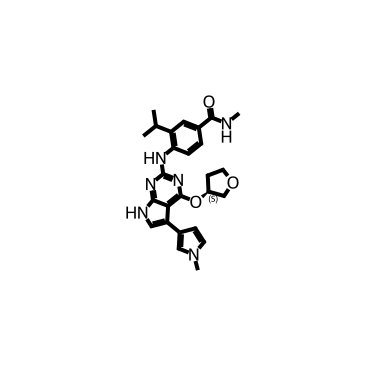 CNC(=O)c1ccc(Nc2nc(O[C@H]3CCOC3)c3c(-c4ccn(C)c4)c[nH]c3n2)c(C(C)C)c1